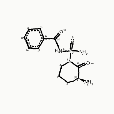 N[C@H]1CCCN(P(N)(=O)NC(=O)c2ccccc2)C1=O